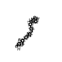 CC1(C)c2ccc(N3CCN(Cc4cnc(N5CCC(c6cc(F)c(C7CCC(=O)NC7=O)c(F)c6)CC5)nc4)CC3)cc2-n2c1nc(=O)c1c(Br)cccc12